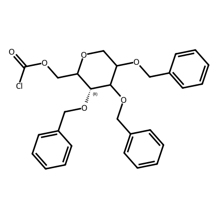 O=C(Cl)OCC1OCC(OCc2ccccc2)C(OCc2ccccc2)[C@@H]1OCc1ccccc1